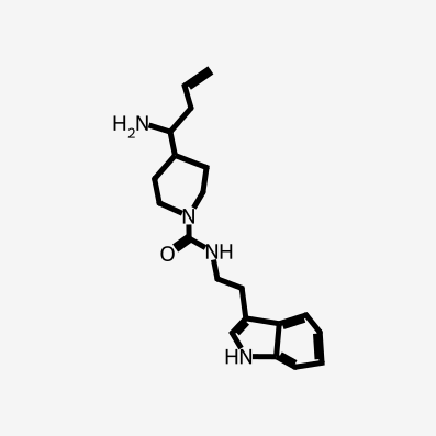 C=CCC(N)C1CCN(C(=O)NCCc2c[nH]c3ccccc23)CC1